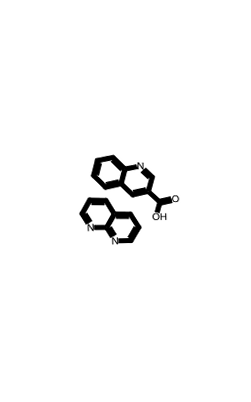 O=C(O)c1cnc2ccccc2c1.c1cnc2ncccc2c1